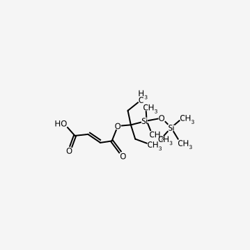 CCC(CC)(OC(=O)/C=C/C(=O)O)[Si](C)(C)O[Si](C)(C)C